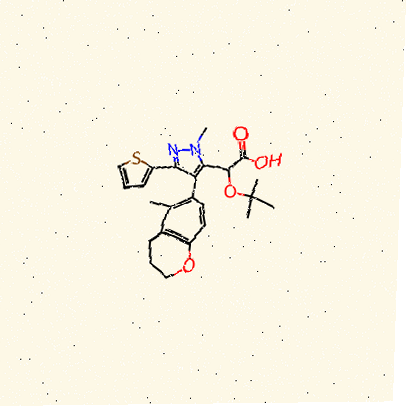 Cc1c(-c2c(-c3cccs3)nn(C)c2C(OC(C)(C)C)C(=O)O)ccc2c1CCCO2